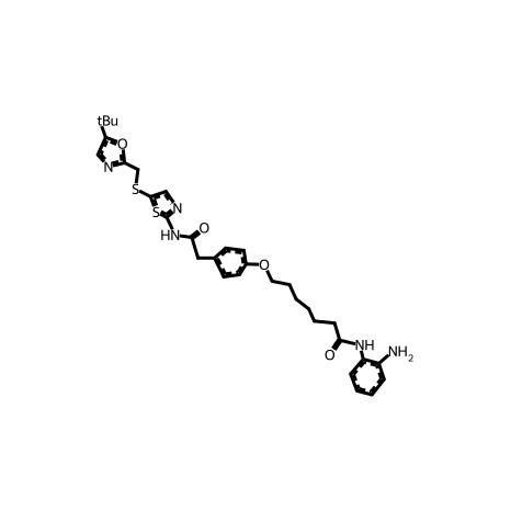 CC(C)(C)c1cnc(CSc2cnc(NC(=O)Cc3ccc(OCCCCCCC(=O)Nc4ccccc4N)cc3)s2)o1